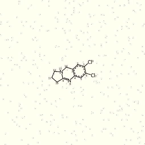 Clc1cc2c(cc1Cl)N=C1CCCN1C2